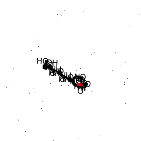 O=C(CNC(=O)CNC(=O)CN1CCN2CCN3CC(=O)ON(OC(=O)C2)C2(C3)CN(CC1)CC(=O)O2)NCC(=O)NCC(=O)N1CCC[C@H]1B(O)O